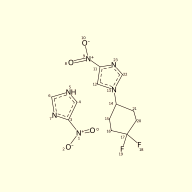 O=[N+]([O-])c1c[nH]cn1.O=[N+]([O-])c1cn(C2CCC(F)(F)CC2)cn1